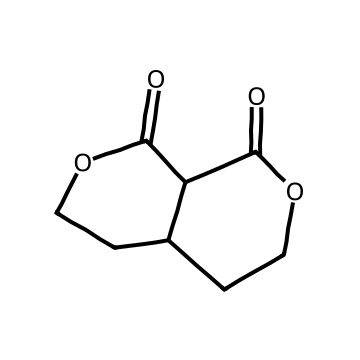 O=C1OCCC2CCOC(=O)C12